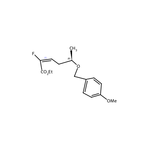 CCOC(=O)/C(F)=C\C[C@@H](C)OCc1ccc(OC)cc1